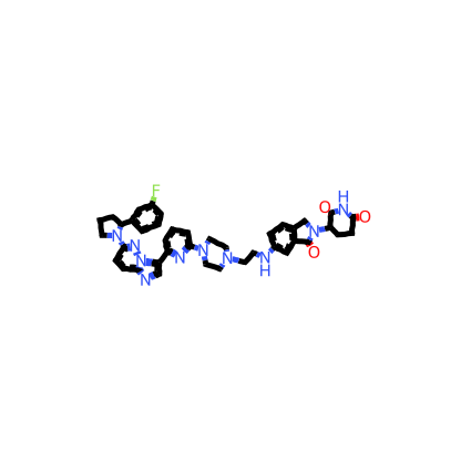 O=C1CCC(N2Cc3ccc(NCCN4CCN(c5cccc(-c6cnc7ccc(N8CCCC8c8cccc(F)c8)nn67)n5)CC4)cc3C2=O)C(=O)N1